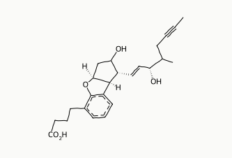 CC#CCC(C)[C@H](O)/C=C/[C@H]1C(O)C[C@@H]2Oc3c(CCCC(=O)O)cccc3[C@@H]21